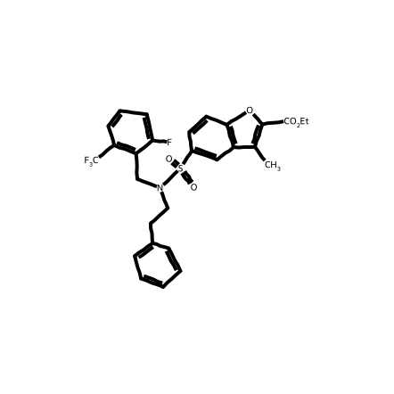 CCOC(=O)c1oc2ccc(S(=O)(=O)N(CCc3ccccc3)Cc3c(F)cccc3C(F)(F)F)cc2c1C